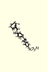 O=S(=O)(O)c1ccc(/N=N/c2ccc(NCc3ccccn3)cc2)cc1